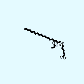 CCCCCCCCCCCCCCCCCCC(C[N+](C)(C)CCCCCC(=O)[O-])OC(=O)CC